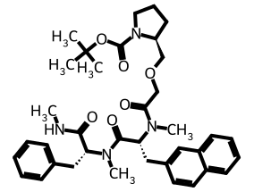 CNC(=O)[C@@H](Cc1ccccc1)N(C)C(=O)[C@@H](Cc1ccc2ccccc2c1)N(C)C(=O)COC[C@@H]1CCCN1C(=O)OC(C)(C)C